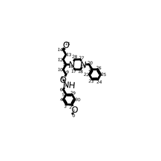 COc1ccc(CNOCCC(CCC=O)N2CCN(Cc3ccccc3)CC2)cc1